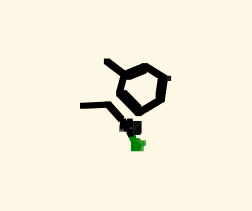 C[CH2][Mg][Br].Cc1c[c]ccc1